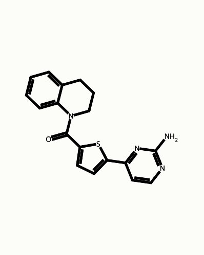 Nc1nccc(-c2ccc(C(=O)N3CCCc4ccccc43)s2)n1